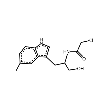 Cc1ccc2[nH]cc(CC(CO)NC(=O)CCl)c2c1